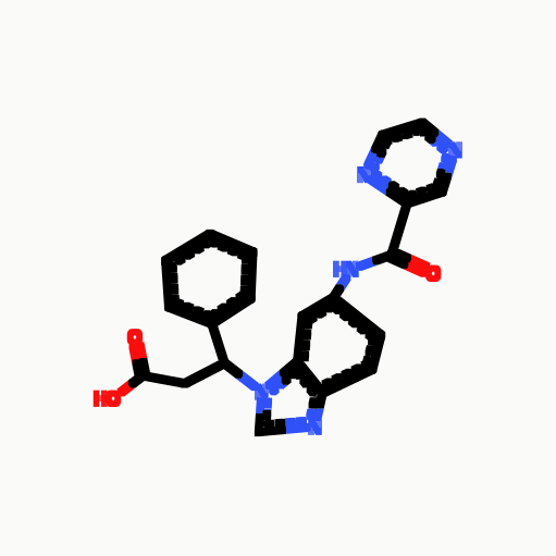 O=C(O)CC(c1ccccc1)n1cnc2ccc(NC(=O)c3cnccn3)cc21